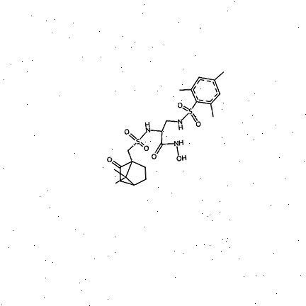 Cc1cc(C)c(S(=O)(=O)NCC(NS(=O)(=O)CC23CCC(CC2=O)C3(C)C)C(=O)NO)c(C)c1